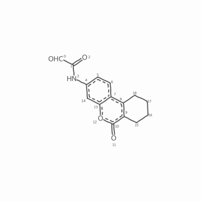 O=CC(=O)Nc1ccc2c3c(c(=O)oc2c1)CCCC3